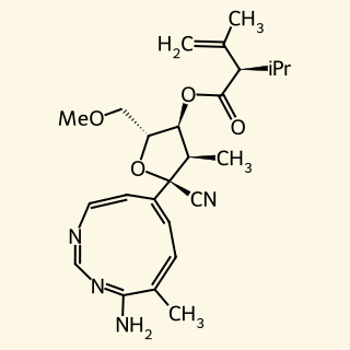 C=C(C)[C@H](C(=O)O[C@H]1[C@@H](C)[C@](C#N)(c2ccncnc(N)c(C)cc2)O[C@@H]1COC)C(C)C